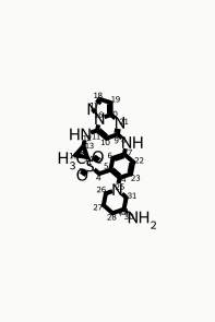 CS(=O)(=O)Cc1cc(Nc2cc(NC3CC3)n3nccc3n2)ccc1N1CCC[C@H](N)C1